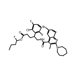 CCCC(F)OC(=O)CCC(CNC(=O)c1c(C)c(N2CCCCCC2)nc2ccc(Br)cc12)c1c(F)ccc(F)c1Cl